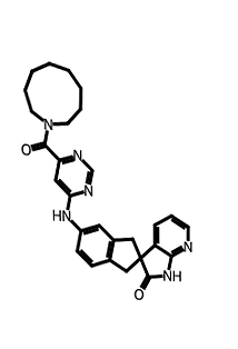 O=C(c1cc(Nc2ccc3c(c2)CC2(C3)C(=O)Nc3ncccc32)ncn1)N1CCCCCCCC1